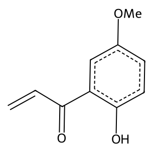 C=CC(=O)c1cc(OC)ccc1O